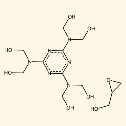 OCC1CO1.OCN(CO)c1nc(N(CO)CO)nc(N(CO)CO)n1